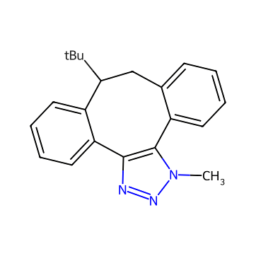 Cn1nnc2c1-c1ccccc1CC(C(C)(C)C)c1ccccc1-2